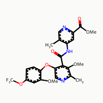 COC(=O)c1cc(NC(=O)c2c(Oc3ccc(OC(F)(F)F)cc3OC)cnc(C)c2OC)c(C)cn1